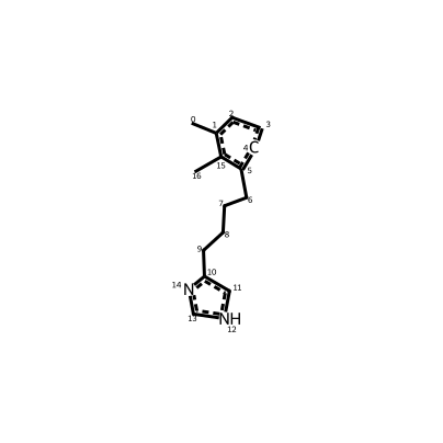 Cc1cccc(CCCCc2c[nH]cn2)c1C